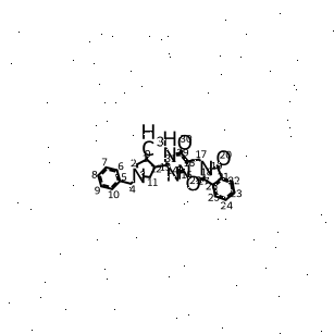 CC1CN(Cc2ccccc2)CC1c1nnc(CN2C(=O)c3ccccc3C2=O)c(=O)[nH]1